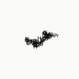 CCCOC(=O)[C@H](C)N[P@@](=O)(Oc1ccccc1)[C@@H](F)c1ccc2sc(C(=O)N[C@H]3CCC[C@H]4CC[C@@H](C(=O)N5CC(c6cnccc6OC)C5)N4C3=O)cc2c1